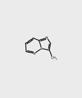 Cc1cnc2cccnn12